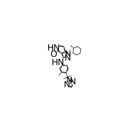 Cc1cc(Nc2nn([C@H]3CCCC[C@@H]3C)c3cc[nH]c(=O)c23)ccc1C(C)(C)n1nccn1